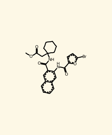 COC(=O)CC1(NC(=O)c2cc3ccccc3cc2NC(=O)c2ccc(Br)o2)CCCCC1